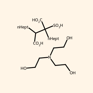 CCCCCCCC(C(=O)O)C(CCCCCCC)(C(=O)O)S(=O)(=O)O.OCCN(CCO)CCO